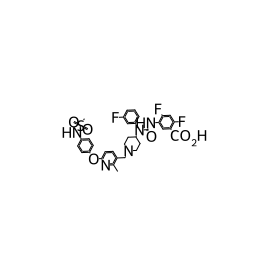 Cc1nc(Oc2ccc(NS(C)(=O)=O)cc2)ccc1CN1CCC(N(C(=O)Nc2cc(C(=O)O)c(F)cc2F)c2cccc(F)c2)CC1